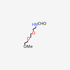 COCCOCCOCCNC=O